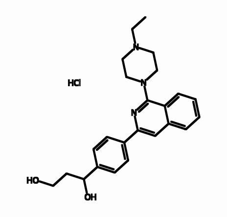 CCN1CCN(c2nc(-c3ccc(C(O)CCO)cc3)cc3ccccc23)CC1.Cl